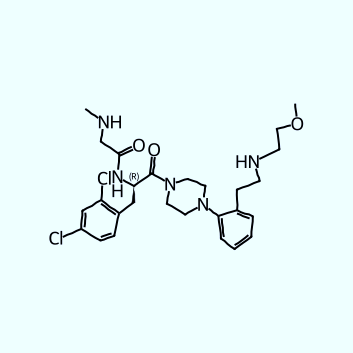 CNCC(=O)N[C@H](Cc1ccc(Cl)cc1Cl)C(=O)N1CCN(c2ccccc2CCNCCOC)CC1